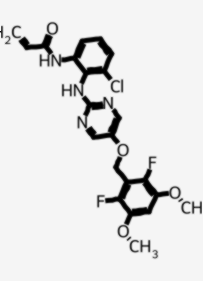 C=CC(=O)Nc1cccc(Cl)c1Nc1ncc(OCc2c(F)c(OC)cc(OC)c2F)cn1